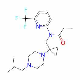 CCC(=O)N(CC1(N2CCN(CC(C)C)CC2)CC1)c1cccc(C(F)(F)F)n1